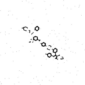 Cc1c(C(=O)N2CCC2)c(-c2cccc(N3CCN(c4ccc(NC(=O)c5ccc(N[C@H](CCN6CCC(C)(O)CC6)CSc6ccccc6)c(S(=O)(=O)C(F)(F)F)c5)cc4)CC3)c2)c(-c2ccc(Cl)cc2)n1C